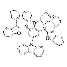 C1=CC2OC(N3c4ccccc4B4c5ccccc5N(C5=C(c6ccccc6)C6C=CC=CC6O5)c5cc(-n6c7ccccc7c7ccccc76)cc3c54)=C(c3ccccc3)C2C=C1